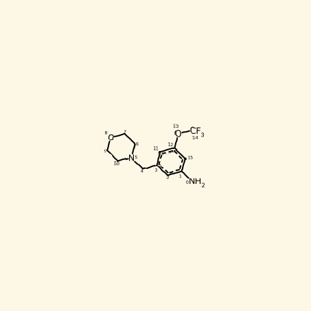 Nc1cc(CN2CCOCC2)cc(OC(F)(F)F)c1